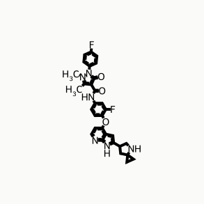 Cc1c(C(=O)Nc2ccc(Oc3ccnc4[nH]c(C5CNC6(CC6)C5)cc34)c(F)c2)c(=O)n(-c2ccc(F)cc2)n1C